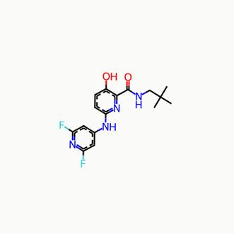 CC(C)(C)CNC(=O)c1nc(Nc2cc(F)nc(F)c2)ccc1O